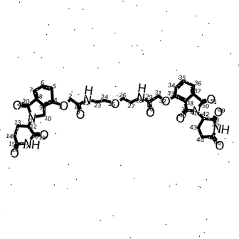 O=C(COc1cccc2c1CN(C1CCC(=O)NC1=O)C2=O)NCCOCCNC(=O)COc1cccc2c1C(=O)N(C1CCC(=O)NC1=O)C2=O